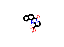 COC(=O)c1cccn2c(=O)c3ccc4ccccc4c3nc12